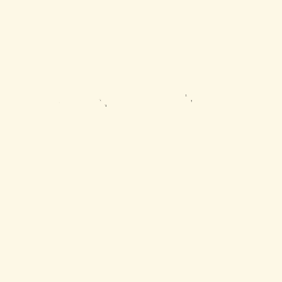 FC(F)(F)c1cc(-c2ccccc2Oc2ccc(Cl)cn2)no1